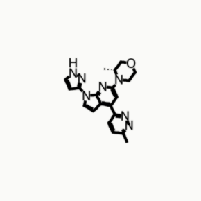 Cc1ccc(-c2cc(N3CCOC[C@H]3C)nc3c2ccn3-c2cc[nH]n2)nn1